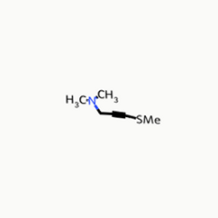 CSC#CCN(C)C